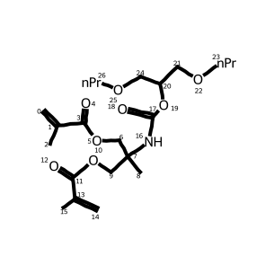 C=C(C)C(=O)OCC(C)(COC(=O)C(=C)C)NC(=O)OC(COCCC)COCCC